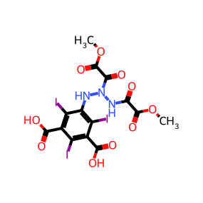 COC(=O)C(=O)NN(Nc1c(I)c(C(=O)O)c(I)c(C(=O)O)c1I)C(=O)C(=O)OC